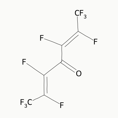 O=C(C(F)=C(F)C(F)(F)F)C(F)=C(F)C(F)(F)F